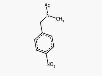 CC(=O)N(C)Cc1ccc([N+](=O)[O-])cc1